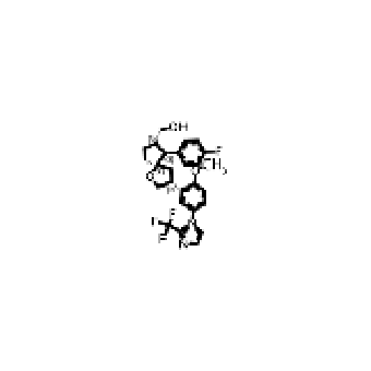 COc1ccc(-n2ccnc2C(F)(F)F)cc1[C@@H]1CO[C@]2(CC[C@H](CO)[C@H]2c2ccc(F)cc2)C1